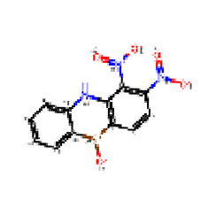 O=[N+]([O-])c1ccc2c(c1[N+](=O)[O-])Nc1ccccc1[S+]2[O-]